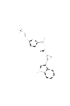 CC(NC(=O)C1CC1c1cn(C)c2ccccc12)c1ccc(OCC(F)(F)F)s1